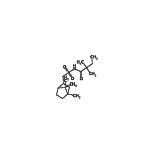 CCC(C)(C)C(=O)NS(=O)(=O)CC1CC2(C)CCC1C2(C)C